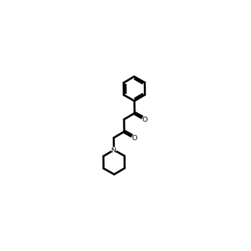 O=C(CC(=O)c1ccccc1)CN1CCCCC1